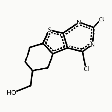 OCC1CCc2sc3nc(Cl)nc(Cl)c3c2C1